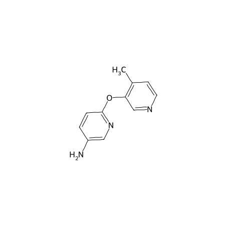 Cc1ccncc1Oc1ccc(N)cn1